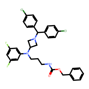 O=C(NCCCN(c1cc(F)cc(F)c1)C1CN(C(c2ccc(Cl)cc2)c2ccc(Cl)cc2)C1)OCc1ccccc1